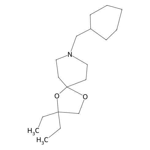 CCC1(CC)COC2(CCN(CC3CCCCC3)CC2)O1